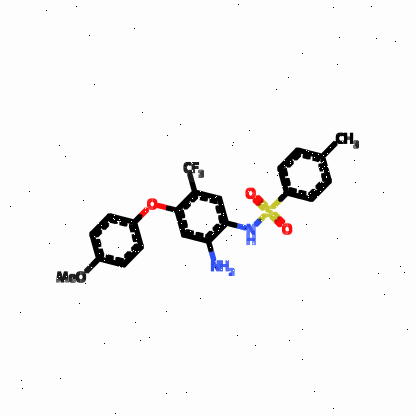 COc1ccc(Oc2cc(N)c(NS(=O)(=O)c3ccc(C)cc3)cc2C(F)(F)F)cc1